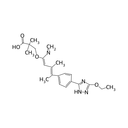 C=N/C(=C\C(C)=C(/C)c1ccc(-c2nc(OCC)n[nH]2)cc1)OCC(C)(C)C(=O)O